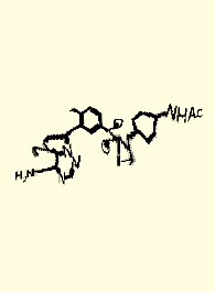 CC(=O)NC1CCC(NS(=O)(=O)c2ccc(C)c(-c3cnc4c(N)ncnn34)c2)CC1